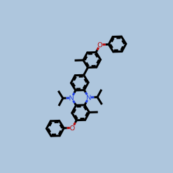 Cc1cc(Oc2ccccc2)ccc1-c1ccc2c(c1)N(C(C)C)c1c(C)cc(Oc3ccccc3)cc1N2C(C)C